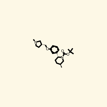 C[C@H]1CC[C@H](c2cccc(OC[C@@H]3CCN(C)C3)c2)N(C(=O)OC(C)(C)C)C1